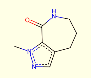 Cn1ncc2c1C(=O)NCCC2